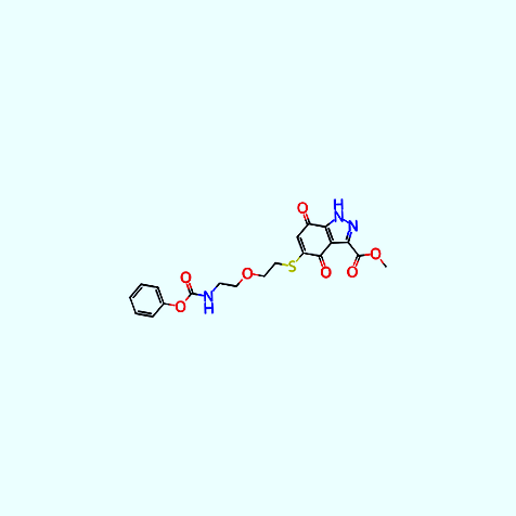 COC(=O)c1n[nH]c2c1C(=O)C(SCCOCCNC(=O)Oc1ccccc1)=CC2=O